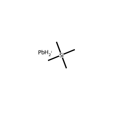 C[Si](C)(C)C.[PbH2]